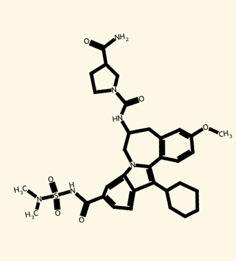 COc1ccc2c(c1)CC(NC(=O)N1CCC(C(N)=O)C1)Cn1c-2c(C2CCCCC2)c2ccc(C(=O)NS(=O)(=O)N(C)C)cc21